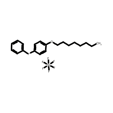 CCCCCCCCOc1ccc([I+]c2ccccc2)cc1.[F][Sb-]([F])([F])([F])([F])[F]